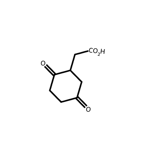 O=C(O)CC1CC(=O)CCC1=O